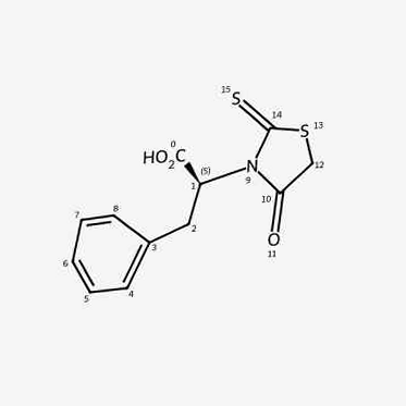 O=C(O)[C@H](Cc1ccccc1)N1C(=O)CSC1=S